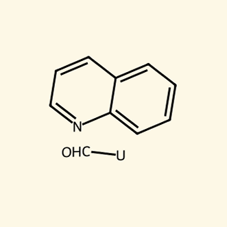 O=[CH][U].c1ccc2ncccc2c1